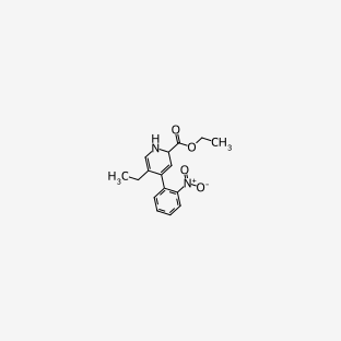 CCOC(=O)C1C=C(c2ccccc2[N+](=O)[O-])C(CC)=CN1